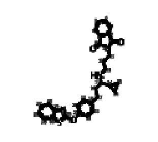 O=C1c2ccccc2C(=O)N1CCCNC(CCc1ccc(Oc2nc3ccccc3s2)cc1)C1CC1